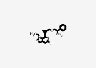 CCn1ncc2cc(Cl)nc(C3CC3COC[C@@H](N)c3ccccc3)c21